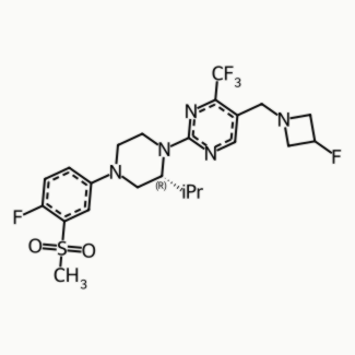 CC(C)[C@@H]1CN(c2ccc(F)c(S(C)(=O)=O)c2)CCN1c1ncc(CN2CC(F)C2)c(C(F)(F)F)n1